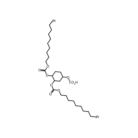 CC(C)CCCCCCCCCOC(=O)OC1CCC(OC(=O)O)CC1OC(=O)OCCCCCCCCCC(C)C